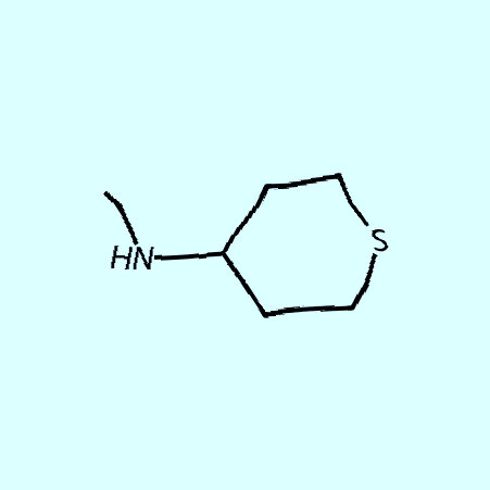 CNC1CCSCC1